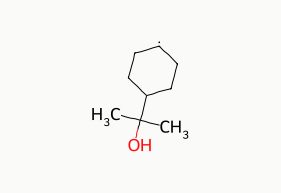 CC(C)(O)C1CC[CH]CC1